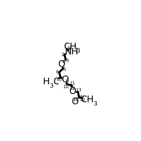 CNCCOCCC(C)OCCOCC(C)=O